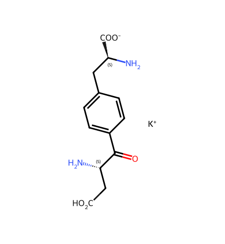 N[C@@H](Cc1ccc(C(=O)[C@@H](N)CC(=O)O)cc1)C(=O)[O-].[K+]